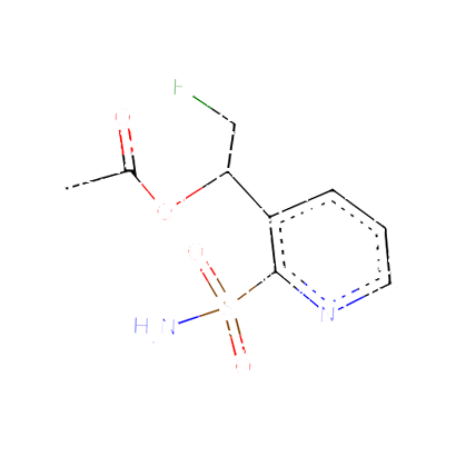 CC(=O)OC(CF)c1cccnc1S(N)(=O)=O